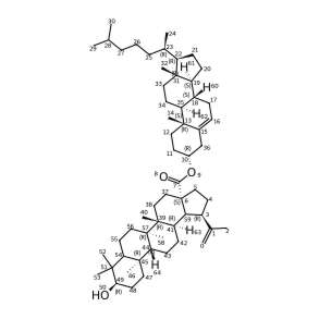 C=C(C)[C@@H]1CC[C@]2(C(=O)O[C@@H]3CC[C@@]4(C)C(=CC[C@H]5[C@@H]6CC[C@H]([C@H](C)CCCC(C)C)[C@@]6(C)CC[C@@H]54)C3)CC[C@]3(C)[C@H](CC[C@@H]4[C@@]5(C)CC[C@@H](O)C(C)(C)C5CC[C@]43C)C12